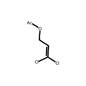 CC(=O)OCC=C(Cl)Cl